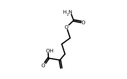 C=C(CCCOC(N)=O)C(=O)O